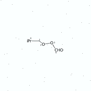 CC(C)COO[C]=O